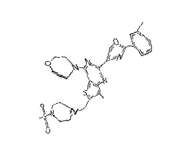 Cc1cccc(-c2nc(-c3nc(N4CCOCC4)c4sc(CN5CCN(S(C)(=O)=O)CC5)c(C)c4n3)co2)c1